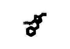 CCCCCCCC12CC(O)(CC1Cc1ccccc1)O2